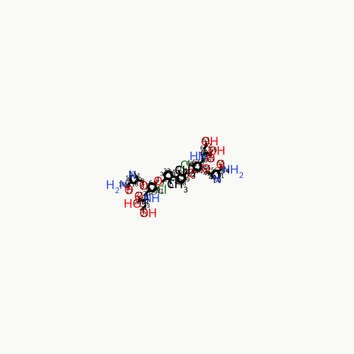 Cc1c(COc2cc(OCc3cncc(C(N)=O)c3)c(CN[C@@H](CCO)C(=O)O)cc2Cl)cccc1-c1cccc(COc2cc(OCc3cncc(C(N)=O)c3)c(CN[C@@H](CCO)C(=O)O)cc2Cl)c1C